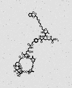 C=C1C[C@@H]2CC[C@]34C[C@@H](OC)[C@H](O3)[C@H]3C[C@@H](O4)[C@H]4OC(CC[C@@H]4O3)CC(=O)CC3[C@H](CC4OC(CCC1O2)C[C@@H](C)C4=C)O[C@H](C[C@H](O)CNC(=O)OCc1ccc(NC(=O)C(CCCNC(N)=O)NC(=O)[C@@H](NC(=O)CCOCCOCCC(=O)ON2CCCC2=O)C(C)C)cc1)[C@@H]3OC